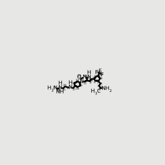 C[C@H](N)CCc1cc(-c2cc3cn(-c4ccc(CNCCCNC(=N)N)cc4)c(=O)nc3[nH]2)cc(C(F)(F)F)c1